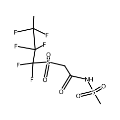 CC(F)(F)C(F)(F)C(F)(F)S(=O)(=O)CC(=O)NS(C)(=O)=O